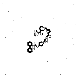 CCN(CC)C(=O)C1CCCN(Cc2ccc(C(=O)CNCCN3CCC(OC(=O)Nc4ccccc4-c4ccccc4)CC3)s2)C1